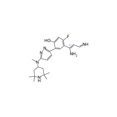 CN(c1ccc(-c2cc(/C(N)=C/C=N)c(F)cc2O)nn1)C1CC(C)(C)NC(C)(C)C1